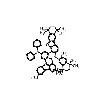 CCCCc1ccc2c(c1)c1cc(CCCC)cc3c1n2-c1cc(N(c2ccccc2)c2ccccc2)cc2c1B3N(c1cc3c(cc1C)C(C)(C)CCC3(C)C)c1ccc3c(oc4cc5c(cc43)C(C)(C)CCC5(C)C)c1-2